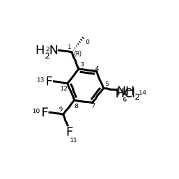 C[C@@H](N)c1cc(N)cc(C(F)F)c1F.Cl